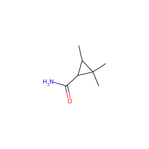 CC1C(C(N)=O)C1(C)C